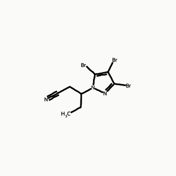 CCC(CC#N)n1nc(Br)c(Br)c1Br